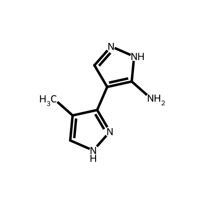 Cc1c[nH]nc1-c1cn[nH]c1N